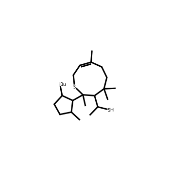 CCC(C)C1CCC(C)C1C1(C)SC/C=C(/C)CCC(C)(C)C1C(C)S